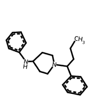 CCCC(c1ccccc1)N1CCC(Nc2ccccc2)CC1